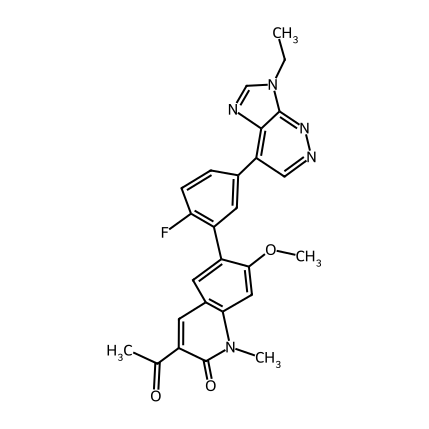 CCn1cnc2c(-c3ccc(F)c(-c4cc5cc(C(C)=O)c(=O)n(C)c5cc4OC)c3)cnnc21